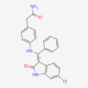 NC(=O)Cc1ccc(N/C(=C2\C(=O)Nc3cc(Cl)ccc32)c2ccccc2)cc1